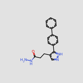 NNC(=O)CCc1cn[nH]c1-c1ccc(-c2ccccc2)cc1